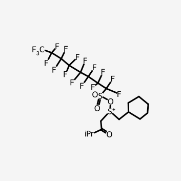 CC(C)C(=O)C[S+](CC1CCCCC1)OS(=O)(=O)C(F)(F)C(F)(F)C(F)(F)C(F)(F)C(F)(F)C(F)(F)C(F)(F)C(F)(F)F